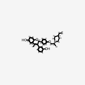 CC1=C(c2cccc(O)c2)C(c2ccc(OCC(C)N3CCC(CF)CC3)cc2)Oc2ccc(O)cc21